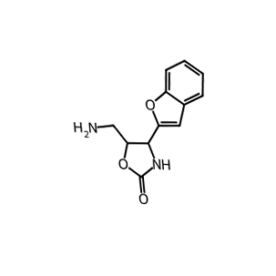 NCC1OC(=O)NC1c1cc2ccccc2o1